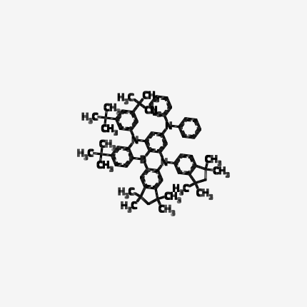 CC(C)(C)c1cc(N2c3cc(C(C)(C)C)ccc3B3c4cc5c(cc4N(c4ccc6c(c4)C(C)(C)CC6(C)C)c4cc(N(c6ccccc6)c6ccccc6)cc2c43)C(C)(C)CC5(C)C)cc(C(C)(C)C)c1